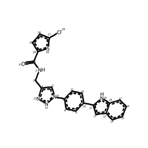 O=C(NCc1cn(-c2ccc(-c3cc4ccccc4[nH]3)cc2)nn1)c1ccc(Cl)s1